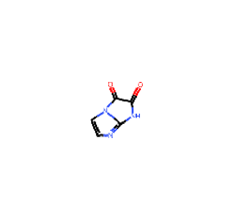 O=C1Nc2nccn2C1=O